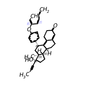 C=C/C=C\C(=C/C)Oc1ccc([C@H]2C[C@@]3(C)[C@@H](CC[C@@]3(O)C#CC)[C@@H]3CCC4=CC(=O)CCC4=C32)cc1